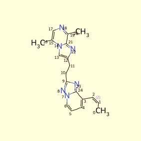 C/C=C\c1cccn2nc(CCc3cn4c(C)cnc(C)c4n3)nc12